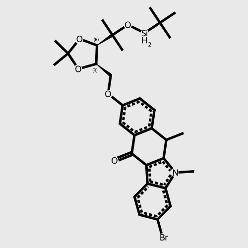 CC1c2ccc(OC[C@H]3OC(C)(C)O[C@H]3C(C)(C)O[SiH2]C(C)(C)C)cc2C(=O)c2c1n(C)c1cc(Br)ccc21